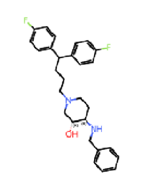 O[C@@H]1CN(CCCC(c2ccc(F)cc2)c2ccc(F)cc2)CC[C@H]1NCc1ccccc1